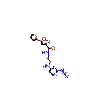 [N-]=[N+]=Nc1nccc(NCCCNC(=O)c2cc(-c3cccs3)on2)n1